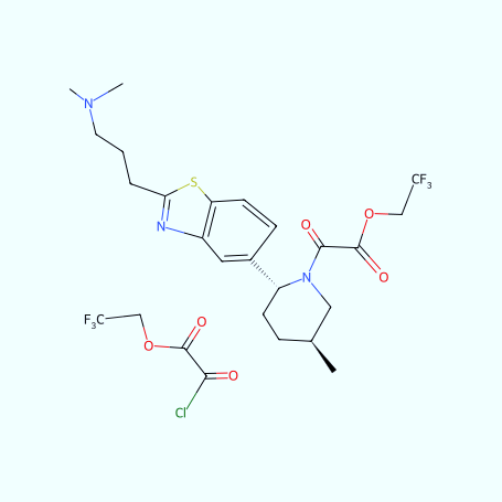 C[C@H]1CC[C@H](c2ccc3sc(CCCN(C)C)nc3c2)N(C(=O)C(=O)OCC(F)(F)F)C1.O=C(Cl)C(=O)OCC(F)(F)F